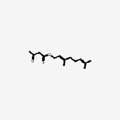 CC(=O)CC(=O)OC/C=C(\C)CCC=C(C)C